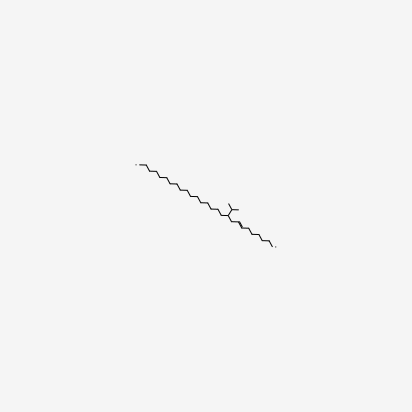 [CH2]CCCCC/C=C/CC(CCCCCCCCCCCCCCCC[CH2])C(C)C